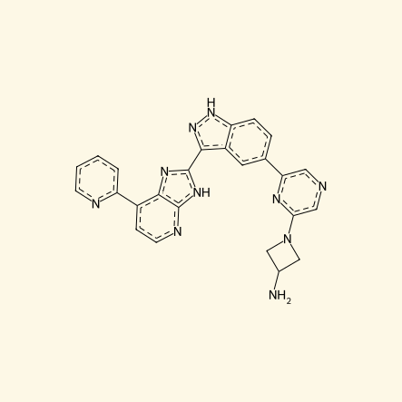 NC1CN(c2cncc(-c3ccc4[nH]nc(-c5nc6c(-c7ccccn7)ccnc6[nH]5)c4c3)n2)C1